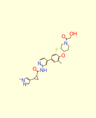 Cc1cc(-c2ccnc(NC(=O)C3CC3c3cnn(C)c3)c2)ccc1O[C@H]1CCN(C(=O)CO)C[C@H]1F